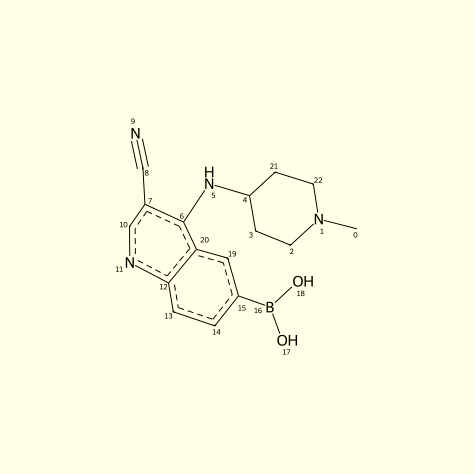 CN1CCC(Nc2c(C#N)cnc3ccc(B(O)O)cc23)CC1